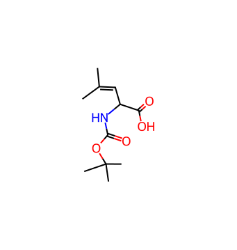 CC(C)=CC(NC(=O)OC(C)(C)C)C(=O)O